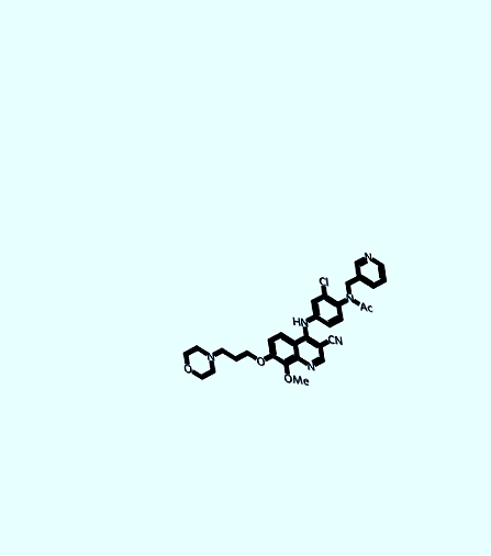 COc1c(OCCCN2CCOCC2)ccc2c(Nc3ccc(N(Cc4cccnc4)C(C)=O)c(Cl)c3)c(C#N)cnc12